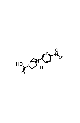 O=C(O)N1C[C@H]2CC1CN2c1ccc([N+](=O)[O-])nc1